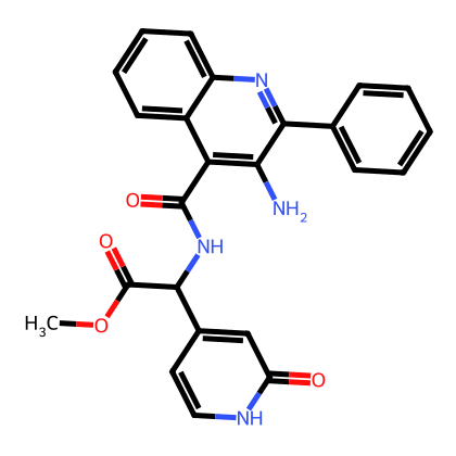 COC(=O)C(NC(=O)c1c(N)c(-c2ccccc2)nc2ccccc12)c1cc[nH]c(=O)c1